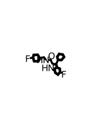 O=C(NCc1ccc(F)cc1)c1[nH]c2ccc(F)cc2c1-c1ccccc1